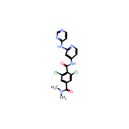 CN(C)C(=O)c1cc(Cl)c(C(=O)Nc2ccnc(Nc3ccncn3)c2)c(Cl)c1